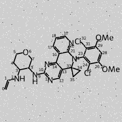 C=CNC1CCOCC1Nc1ncc2c(n1)-c1cccnc1N(c1c(Cl)c(OC)cc(OC)c1Cl)C21CC1